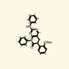 COc1ccccc1C1Cc2cnc(Nc3ccccc3)nc2N(c2ccccc2)C1=O